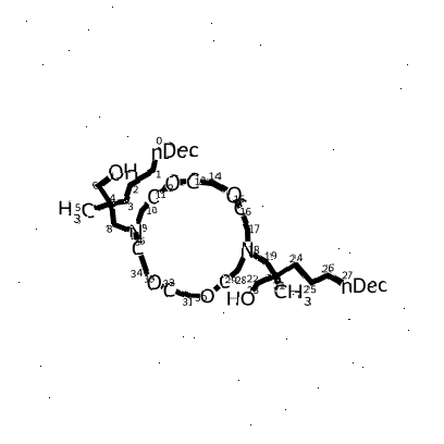 CCCCCCCCCCCCCC(C)(CO)CN1CCOCCOCCN(CC(C)(CO)CCCCCCCCCCCCC)CCOCCOCC1